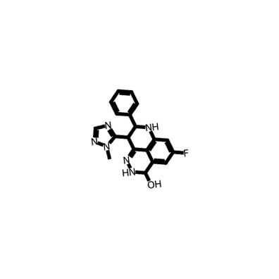 Cn1ncnc1C1C2=NNC(O)c3cc(F)cc(c32)NC1c1ccccc1